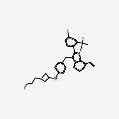 C=Cc1cccc2c(Cc3ccc(NC4CN(CCCF)C4)cc3)c(-c3ccc(F)cc3C(C)(F)F)sc12